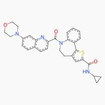 O=C(NC1CC1)c1cc2c(s1)-c1ccccc1N(C(=O)c1ccc3ccc(N4CCOCC4)cc3n1)CC2